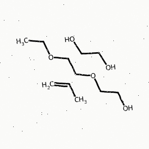 C=CC.CCOCCOCCO.OCCO